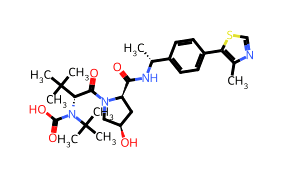 Cc1ncsc1-c1ccc([C@@H](C)NC(=O)[C@H]2C[C@@H](O)CN2C(=O)[C@H](N(C(=O)O)C(C)(C)C)C(C)(C)C)cc1